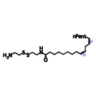 CCCCC/C=C\C/C=C\CCCCCCCC(=O)NCCSSCCN